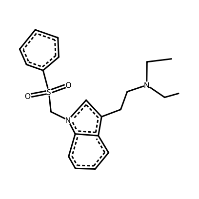 CCN(CC)CCc1cn(CS(=O)(=O)c2ccccc2)c2ccccc12